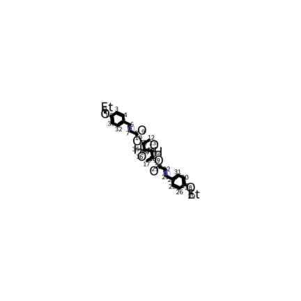 CCOc1ccc(/C=C/C(=O)O[C@@H]2CO[C@H]3[C@@H]2OC[C@H]3OC(=O)/C=C/c2ccc(OCC)cc2)cc1